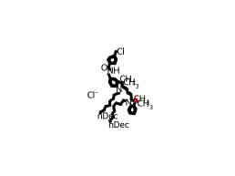 CCCCCCCCCCCCCCCCCCN1C(=CC=CC2=[N+](CCCCCCCCCCCCCCCCCC)c3ccccc3C2(C)C)C(C)(C)c2cc(CNC(=O)c3ccc(CCl)cc3)ccc21.[Cl-]